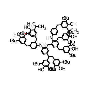 C=C(C)c1cc(CC2=CC(Cc3cc(C(C)(C)C)c(O)c(C(C)(C)C)c3)CC=C2Nc2ccc(C(Cc3cc(C(C)(C)C)c(O)c(C(C)(C)C)c3)c3cc(C(C)(C)C)c(O)c(C(C)(C)C)c3)cc2Cc2cc(Cc3cc(C(C)(C)C)c(O)c(C(C)(C)C)c3)cc(Cc3cc(C(C)(C)C)c(O)c(C(C)(C)C)c3)c2Nc2ccc(Cc3cc(C(=C)C)c(O)c(C(C)(C)C)c3)cc2)cc(C(C)(C)C)c1O